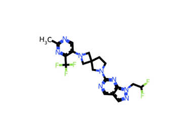 Cc1ncc(N2CC3(CCN(c4ncc5cnn(CC(F)F)c5n4)C3)C2)c(C(F)(F)F)n1